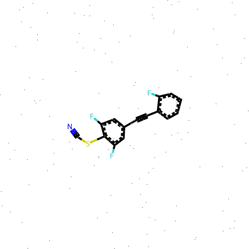 N#CSc1c(F)cc(C#Cc2ccccc2F)cc1F